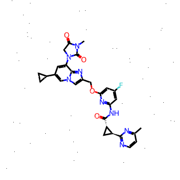 Cc1ccnc([C@H]2C[C@@H]2C(=O)Nc2cc(F)cc(OCc3cn4cc(C5CC5)cc(N5CC(=O)N(C)C5=O)c4n3)n2)n1